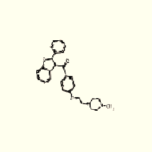 CN1CCN(CCOc2ccc(C(=O)C3c4ccccc4SC3c3ccccc3)cc2)CC1